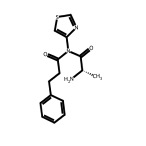 C[C@H](N)C(=O)N(C(=O)CCc1ccccc1)c1cscn1